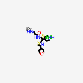 CC(C)NCCC(=O)Nc1sc2c(c1-c1nc(C3=CCOCC3)cs1)CCNC2.Cl.Cl